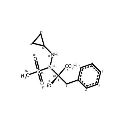 CC[C@](Cc1ccccc1)(C(=O)O)N(NC1CC1)S(C)(=O)=O